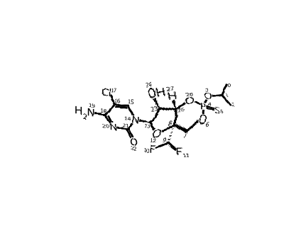 CC(C)OP1(=S)OC[C@@]2(C(F)F)O[C@@H](n3cc(Cl)c(N)nc3=O)[C@@H](O)[C@@H]2O1